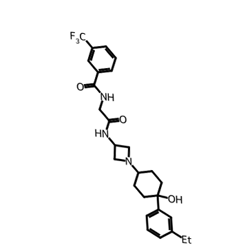 CCc1cccc(C2(O)CCC(N3CC(NC(=O)CNC(=O)c4cccc(C(F)(F)F)c4)C3)CC2)c1